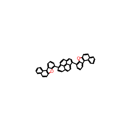 c1ccc2c(c1)ccc1oc3c(-c4ccc5ccc6c(-c7cccc8c7oc7ccc9ccccc9c78)ccc7ccc4c5c76)cccc3c12